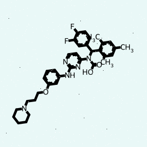 Cc1cc(C)c(C(c2ccc(F)c(F)c2)N(C(=O)O)c2ccnc(Nc3cccc(OCCCN4CCCCC4)c3)n2)c(C)c1